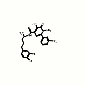 CC(CCCc1ccc(Cl)c(Cl)c1)NC(=O)c1cc(-c2cccc(C(F)(F)F)c2)n(C)c(=O)c1O